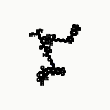 CCCN(CCC)CCCCC(NC(=O)C(NC(=O)CCCCCn1cc(-c2cnc(S(C)(=O)=O)nc2)nn1)C(C)C)C(=O)NCC(=O)NCOC/C=C/c1c2c(nc3cc4c(cc13)OCO4)-c1cc3c(c(=O)n1C2)COC(=O)[C@]3(O)CC